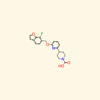 O=C(O)N1CCC(c2cccc(OCc3ccc4ccoc4c3F)n2)CC1